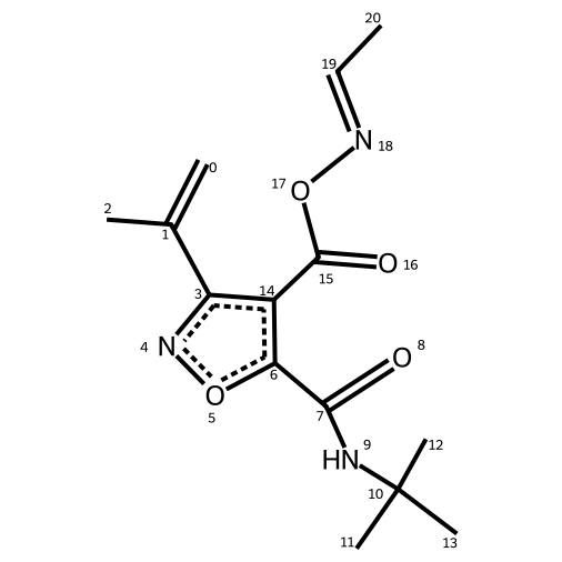 C=C(C)c1noc(C(=O)NC(C)(C)C)c1C(=O)ON=CC